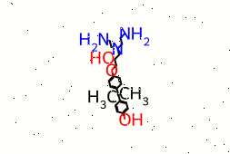 CC(C)(c1ccc(O)cc1)c1ccc(OCC(O)CN(CCN)CCN)cc1